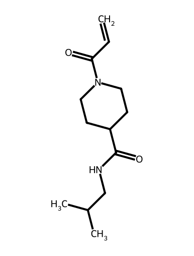 C=CC(=O)N1CCC(C(=O)NCC(C)C)CC1